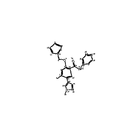 Cc1cc(OCc2ccccc2)c(C(=O)Nc2ccnnc2)cc1-c1cnn(C)c1